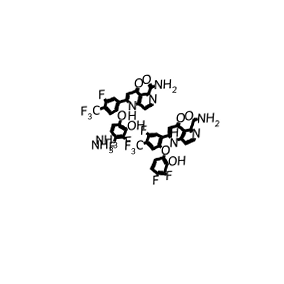 N.N.NC(=O)c1nccc2[nH]c(-c3cc(F)c(C(F)(F)F)cc3Oc3ccc(F)c(F)c3O)cc(=O)c12.NC(=O)c1nccc2[nH]c(-c3cc(F)c(C(F)(F)F)cc3Oc3ccc(F)c(F)c3O)cc(=O)c12